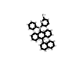 Fc1cccc(N(c2ccccc2)c2c3ccccc3c(-c3cccc4ccccc34)c3ccccc23)n1